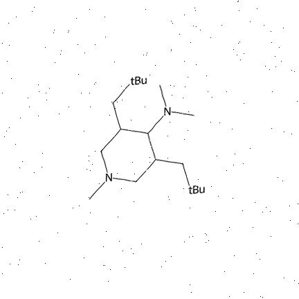 CN1CC(CC(C)(C)C)C(N(C)C)C(CC(C)(C)C)C1